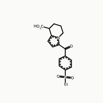 CCS(=O)(=O)c1ccc(C(=O)c2ccc3n2CCCC3C(=O)O)cc1